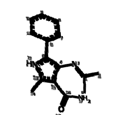 CC(C)=Nc1c(-c2ccccc2)[nH]c(C)c1C(N)=O